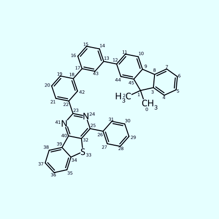 CC1(C)c2ccccc2-c2ccc(-c3cccc(-c4cccc(-c5nc(-c6ccccc6)c6sc7ccccc7c6n5)c4)c3)cc21